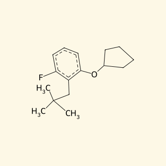 CC(C)(C)Cc1c(F)cccc1OC1CCCC1